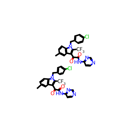 Cc1ccc2c(c1)c(C(=O)C(=O)Nc1ccncn1)c(C(F)(F)F)n2Cc1ccc(Cl)cc1.Cc1ccc2c(c1)c(C(=O)C(=O)Nc1ccncn1)c(C(F)(F)F)n2Cc1ccc(Cl)cc1